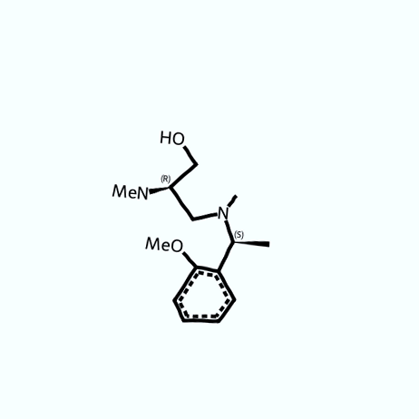 CN[C@@H](CO)CN(C)[C@@H](C)c1ccccc1OC